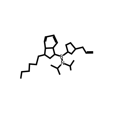 C=CCC1CCC(B(C2CC(CCCCCC)C3C=CC=CC23)N(C(C)C)C(C)C)C1